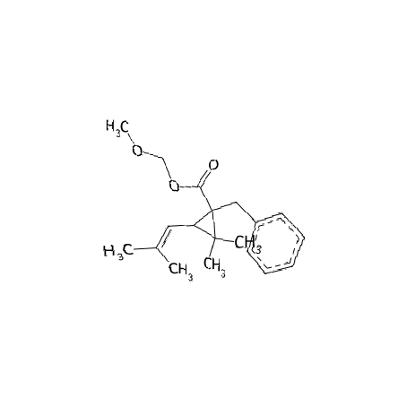 COCOC(=O)C1(Cc2ccccc2)C(C=C(C)C)C1(C)C